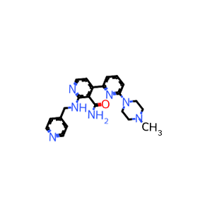 CN1CCN(c2cccc(-c3ccnc(NCc4ccncc4)c3C(N)=O)n2)CC1